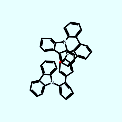 c1ccc(-n2c3ccccc3c3ccccc32)c(-c2ccc3oc4c(-c5ccccc5-n5c6ccccc6c6ccccc65)cccc4c3c2)c1